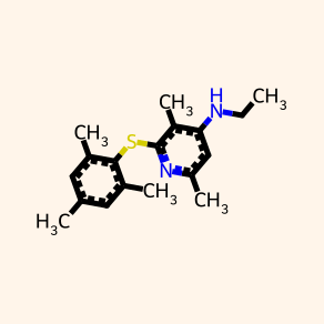 CCNc1cc(C)nc(Sc2c(C)cc(C)cc2C)c1C